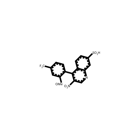 COc1cc(C(F)(F)F)ccc1-c1c([N+](=O)[O-])cnc2cc(S(=O)(=O)O)ccc12